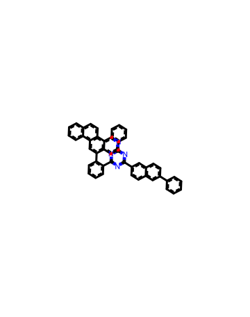 c1ccc(-c2ccc3cc(-c4nc(-c5ccccc5)nc(-c5ccccc5-c5cc6c7ccccc7ccc6c6cnccc56)n4)ccc3c2)cc1